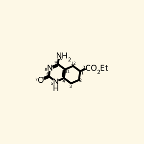 CCOC(=O)C1CCc2[nH]c(=O)nc(N)c2C1